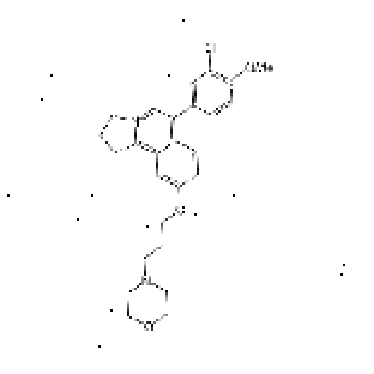 COc1ccc(-c2c[n+]3c(c4cc(OCCCN5CCOCC5)ccc24)CCC3)cc1Cl